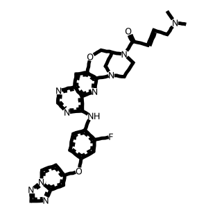 CN(C)C/C=C/C(=O)N1CCN2CC1COc1cc3ncnc(Nc4ccc(Oc5ccn6ncnc6c5)cc4F)c3nc12